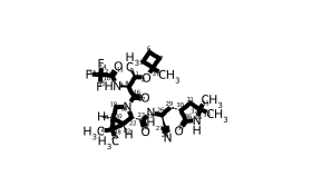 C[C@@H](OC1(C)CCC1)[C@H](NC(=O)C(F)(F)F)C(=O)N1C[C@H]2[C@@H]([C@H]1C(=O)N[C@H](C#N)C[C@@H]1CC(C)(C)NC1=O)C2(C)C